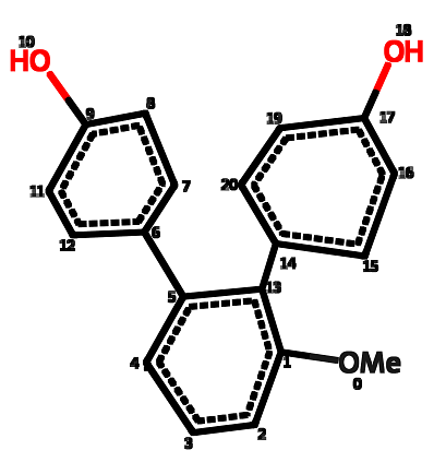 COc1cc[c]c(-c2ccc(O)cc2)c1-c1ccc(O)cc1